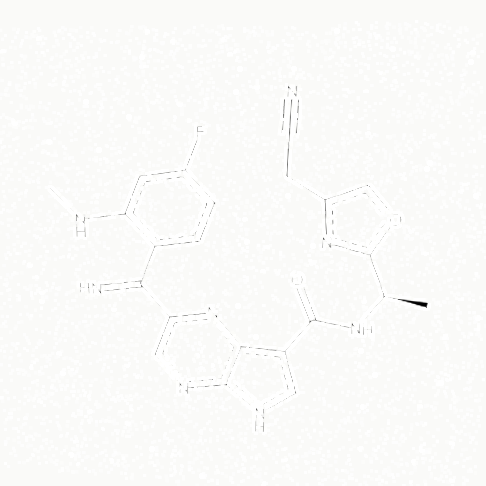 CNc1cc(F)ccc1C(=N)c1cnc2[nH]cc(C(=O)N[C@H](C)c3nc(CC#N)co3)c2n1